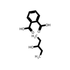 CCC(O)CC.O=C(O)c1ccccc1C(=O)O